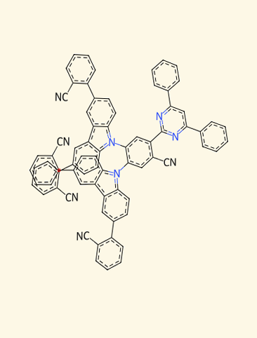 N#Cc1ccccc1-c1ccc2c(c1)c1cc(-c3ccccc3C#N)ccc1n2-c1cc(C#N)c(-c2nc(-c3ccccc3)cc(-c3ccccc3)n2)cc1-n1c2ccc(-c3ccccc3C#N)cc2c2cc(-c3ccccc3C#N)ccc21